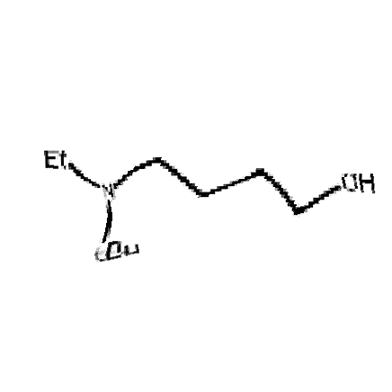 CCN(CCCCO)C(C)(C)C